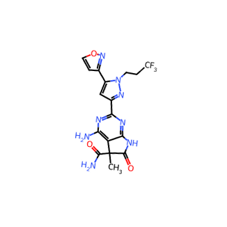 CC1(C(N)=O)C(=O)Nc2nc(-c3cc(-c4ccon4)n(CCC(F)(F)F)n3)nc(N)c21